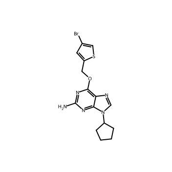 Nc1nc(OCc2cc(Br)cs2)c2ncn(C3CCCC3)c2n1